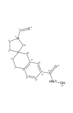 O=CN1CCC2(CCc3ccc(C(=O)NO)cc3C2)C1